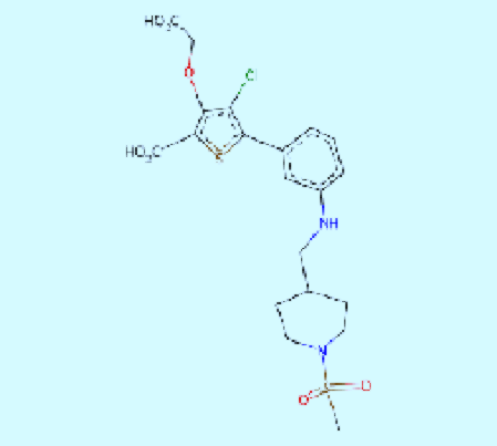 CS(=O)(=O)N1CCC(CNc2cccc(-c3sc(C(=O)O)c(OCC(=O)O)c3Cl)c2)CC1